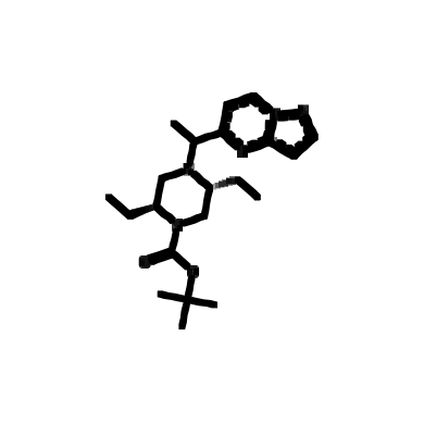 CC[C@H]1CN(C(C)c2ccn3nccc3n2)[C@H](CC)CN1C(=O)OC(C)(C)C